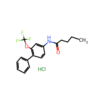 CCCCC(=O)Nc1ccc(-c2ccccc2)c(OC(F)(F)F)c1.Cl